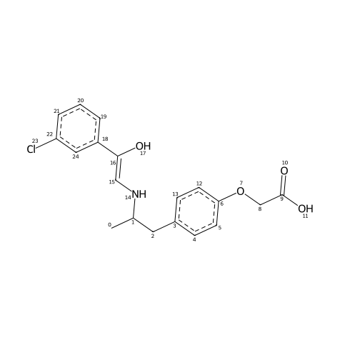 CC(Cc1ccc(OCC(=O)O)cc1)NC=C(O)c1cccc(Cl)c1